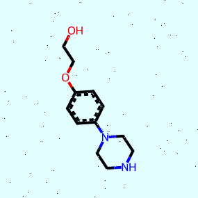 OCCOc1ccc(N2CCNCC2)cc1